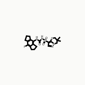 CC1(C)COc2c(S(=O)(=O)NC(=O)Nc3c4c(c(F)c5c3CCC5)CCC4)cnn2C1